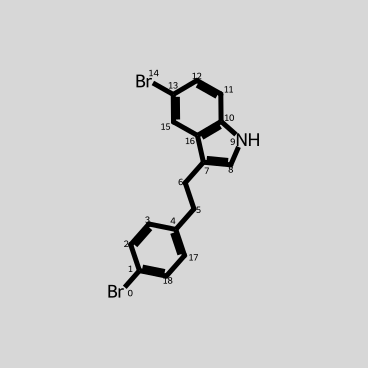 Brc1ccc(CCc2c[nH]c3ccc(Br)cc23)cc1